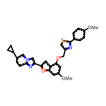 COc1ccc(-c2nc(COc3cc(OC)cc4oc(-c5cn6cc(C7CC7)ccc6n5)cc34)cs2)cc1